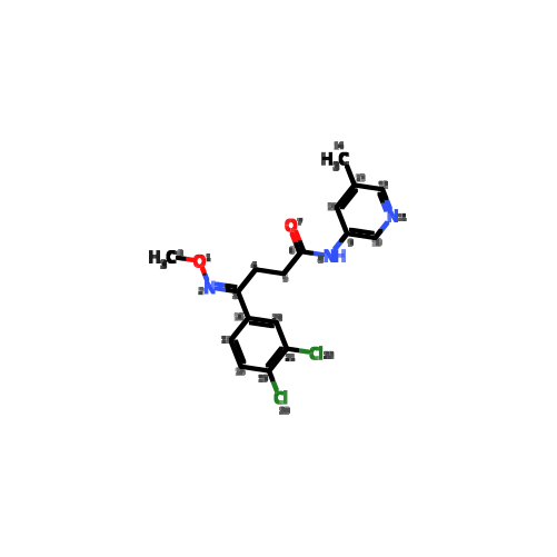 CO/N=C(\CCC(=O)Nc1cncc(C)c1)c1ccc(Cl)c(Cl)c1